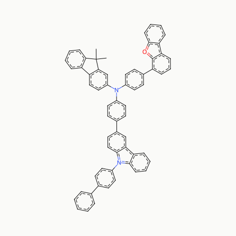 CC1(C)c2ccccc2-c2ccc(N(c3ccc(-c4ccc5c(c4)c4ccccc4n5-c4ccc(-c5ccccc5)cc4)cc3)c3ccc(-c4cccc5c4oc4ccccc45)cc3)cc21